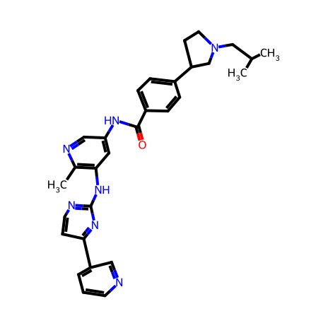 Cc1ncc(NC(=O)c2ccc(C3CCN(CC(C)C)C3)cc2)cc1Nc1nccc(-c2cccnc2)n1